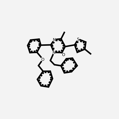 Cc1csc(-c2c(C)nc(-c3ccccc3OCc3ccccc3)n(CCc3ccccc3)c2=O)c1